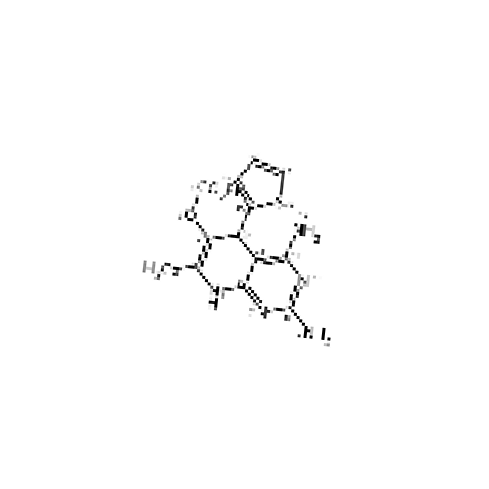 CCOC(=O)OC1=C(C)Nc2nc(N)nc(N)c2C1c1cccs1